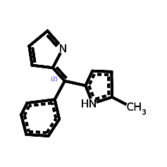 Cc1ccc(/C(=C2/C=CC=N2)c2ccccc2)[nH]1